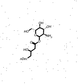 CCCCCCCCCCCC(O)CC(=O)OC1O[C@H](CO)[C@@H](O)[C@H](O)[C@H]1N